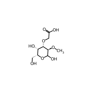 CO[C@H]1C(O)O[C@H](CO)[C@H](O)[C@@H]1OCC(=O)O